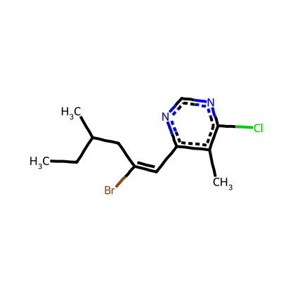 CCC(C)C/C(Br)=C\c1ncnc(Cl)c1C